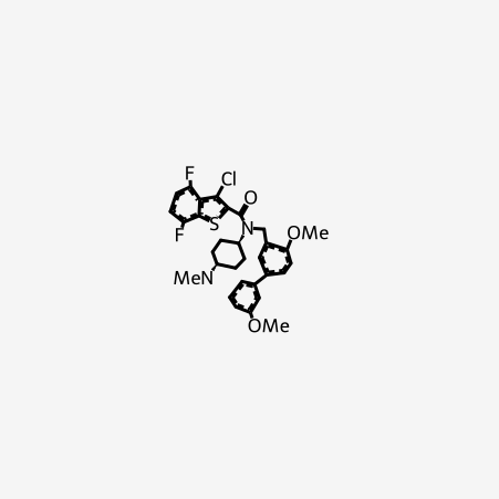 CN[C@H]1CC[C@@H](N(Cc2cc(-c3cccc(OC)c3)ccc2OC)C(=O)c2sc3c(F)ccc(F)c3c2Cl)CC1